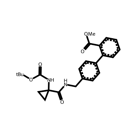 COC(=O)c1ccccc1-c1ccc(CNC(=O)C2(NC(=O)OC(C)(C)C)CC2)cc1